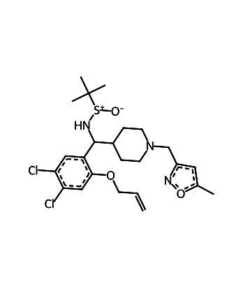 C=CCOc1cc(Cl)c(Cl)cc1C(N[S+]([O-])C(C)(C)C)C1CCN(Cc2cc(C)on2)CC1